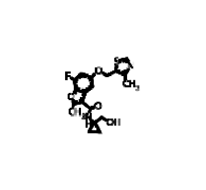 Cc1ncsc1COc1cc(F)c2oc(C)c(C(=O)NC3(CO)CC3)c2c1